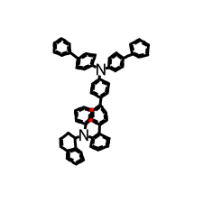 C1=Cc2ccccc2C(N(c2ccccc2)c2ccccc2-c2ccc(-c3ccc(N(c4ccc(-c5ccccc5)cc4)c4ccc(-c5ccccc5)cc4)cc3)cc2)C1